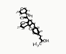 C/C(O)=C/Cc1ccc(Cc2cc(C(=O)NC3CCOCC3)c3c(c2C)CCO3)cc1